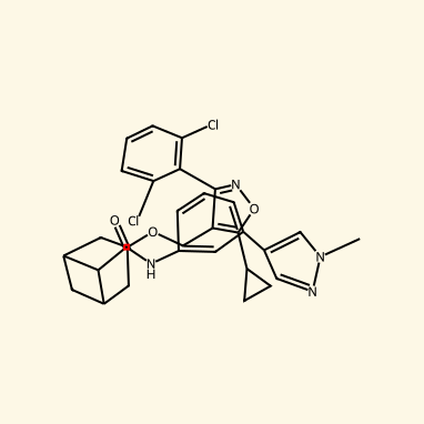 Cn1cc(-c2cccc(NC(=O)C3C4CC(OCc5c(-c6c(Cl)cccc6Cl)noc5C5CC5)CC3C4)c2)cn1